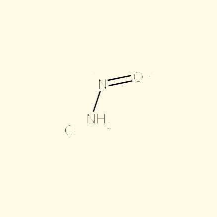 NN=O.[C]